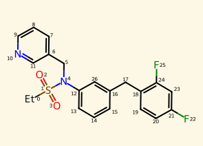 CCS(=O)(=O)N(Cc1cccnc1)c1cccc(Cc2ccc(F)cc2F)c1